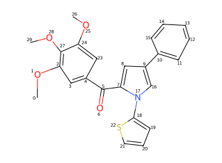 COc1cc(C(=O)c2cc(-c3ccccc3)cn2-c2cccs2)cc(OC)c1OC